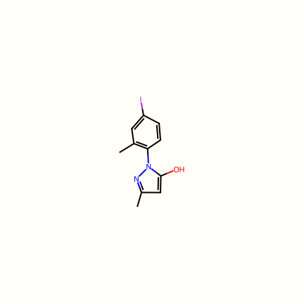 Cc1cc(O)n(-c2ccc(I)cc2C)n1